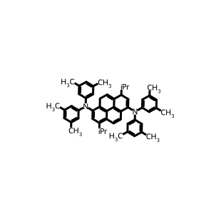 Cc1cc(C)cc(N(C2=CC(C(C)C)C3=CCc4c(N(c5cc(C)cc(C)c5)c5cc(C)cc(C)c5)cc(C(C)C)c5ccc2c3c45)c2cc(C)cc(C)c2)c1